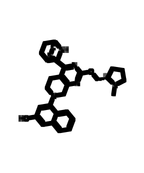 CN1CCC[C@H]1COc1nc2c(c(N3CC4CCC3CN4)n1)CCN(c1cc(O)cc3ccccc13)C2